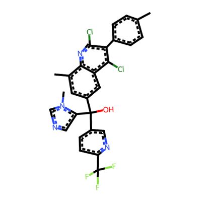 Cc1ccc(-c2c(Cl)nc3c(C)cc(C(O)(c4ccc(C(F)(F)F)nc4)c4cncn4C)cc3c2Cl)cc1